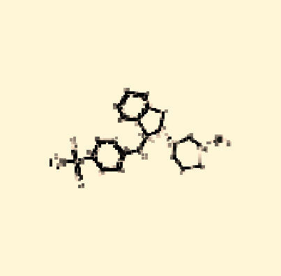 N[C@@H]1CCCN([C@H]2Cc3ccccc3[C@@H]2Oc2ccc(S(N)(=O)=O)cc2)C1